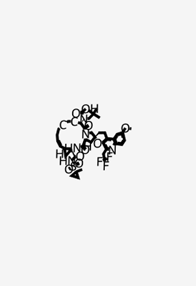 COc1ccc2nc(CC(F)(F)F)c3c(c2c1)CC[C@]1(C[C@H]2C(=O)N[C@]4(C(=O)NS(=O)(=O)C5(C)CC5)C[C@H]4C=CCCCCC[C@H](N(CC(C)(C)C)C(=O)O)C(=O)N2C1)O3